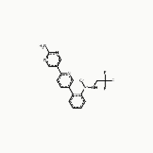 Nc1ncc(-c2ccc(-c3ccccc3[S+]([O-])NCC(F)(F)F)cn2)cn1